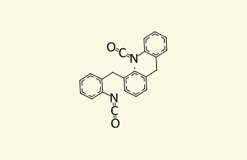 O=C=Nc1ccccc1Cc1[c]c(Cc2ccccc2N=C=O)ccc1